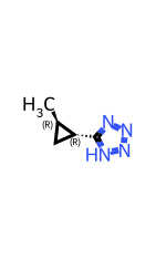 C[C@@H]1C[C@H]1c1nnn[nH]1